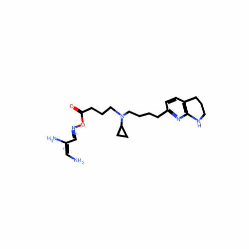 N/C=C(N)\C=N\OC(=O)CCCN(CCCCc1ccc2c(n1)NCCC2)C1CC1